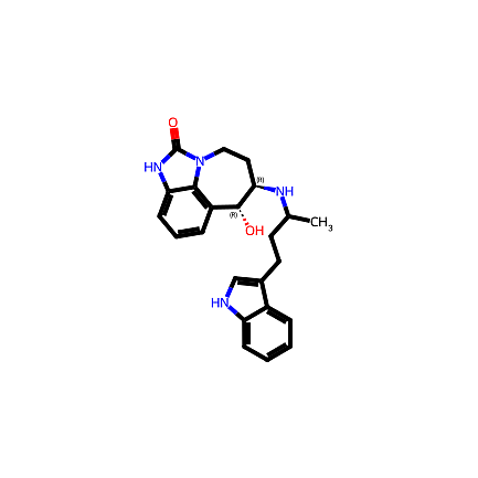 CC(CCc1c[nH]c2ccccc12)N[C@@H]1CCn2c(=O)[nH]c3cccc(c32)[C@H]1O